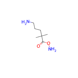 CC(C)(CCCN)C(=O)ON